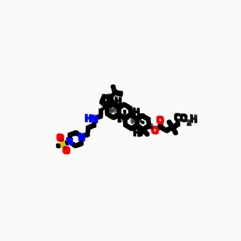 C=C(C)[C@@H]1CC[C@]2(CCNCCCN3CCN(S(C)(=O)=O)CC3)CC[C@]3(C)[C@H](CC[C@@H]4[C@@]5(C)CC[C@H](OC(=O)CC(C)(C)CC(=O)O)C(C)(C)[C@@H]5CC[C@]43C)[C@@H]12